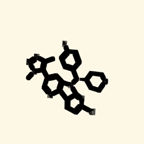 Cc1nnn(C)c1-c1cnc2c3ccc(Cl)nc3n([C@H](c3ccc(F)cc3)C3CCOCC3)c2c1